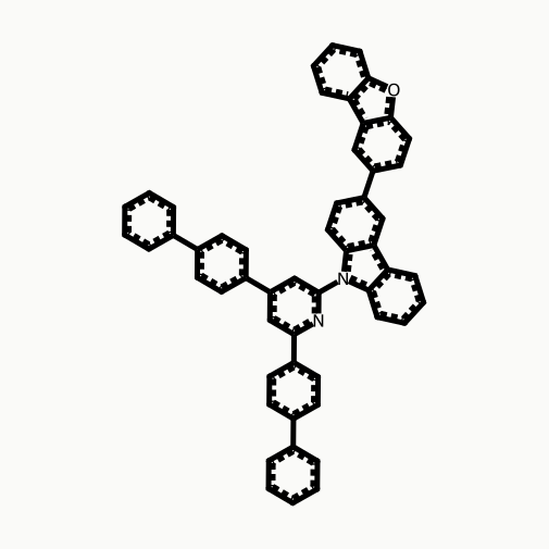 c1ccc(-c2ccc(-c3cc(-c4ccc(-c5ccccc5)cc4)nc(-n4c5ccccc5c5cc(-c6ccc7oc8ccccc8c7c6)ccc54)c3)cc2)cc1